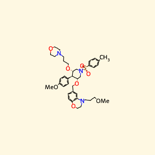 COCCCN1CCOc2ccc(CO[C@H]3CN(S(=O)(=O)c4ccc(C)cc4)C[C@@H](OCCCN4CCOCC4)[C@@H]3c3ccc(OC)cc3)cc21